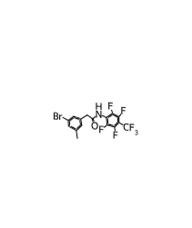 Cc1cc(Br)cc(CC(=O)Nc2c(F)c(F)c(C(F)(F)F)c(F)c2F)c1